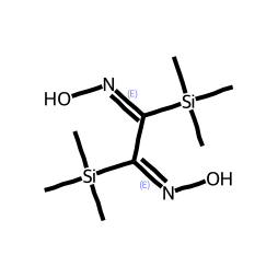 C[Si](C)(C)C(=N/O)/C(=N\O)[Si](C)(C)C